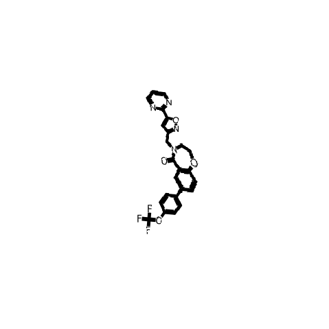 O=C1c2cc(-c3ccc(OC(F)(F)F)cc3)ccc2OCCN1Cc1cc(-c2ncccn2)on1